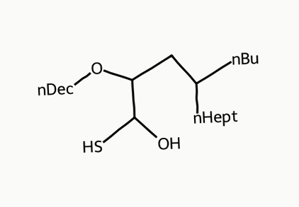 CCCCCCCCCCOC(CC(CCCC)CCCCCCC)C(O)S